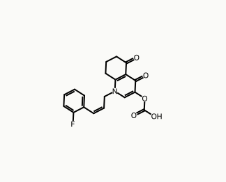 O=C(O)Oc1cn(C/C=C\c2ccccc2F)c2c(c1=O)C(=O)CCC2